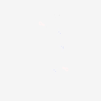 CCOC(=O)C1C=Nc2c(ccc3cc(C(=O)N4CCc5ccccc5C4)cnc23)C1=O